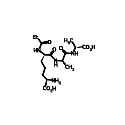 CCC(=O)N[C@@H](CCC[C@@H](N)C(=O)O)C(=O)N[C@H](C)C(=O)N[C@H](C)C(=O)O